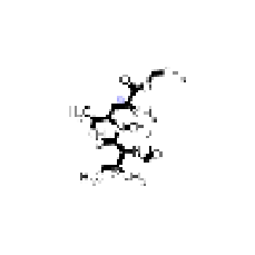 CCOC(=O)/C(C)=C/C(C(C)C)N(C)C(=O)C(NC=O)[C@@H](C)CC